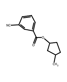 CC1CCC(OC(=O)c2cccc(C#N)c2)C1